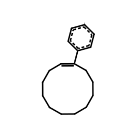 [c]1ccc(C2=CCCCCCCCCCC2)cc1